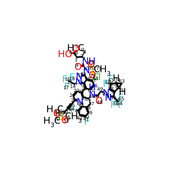 CC[C@H](CC(=O)O)NC(=O)N(c1nn(CC(F)(F)F)c2c(-c3ccc(C#CC(C)(C)S(C)(=O)=O)nc3[C@H](Cc3cc(F)cc(F)c3)NC(=O)Cn3nc(C(F)(F)F)c4c3C(F)(F)[C@@H]3C[C@H]43)ccc(Cl)c12)S(C)(=O)=O